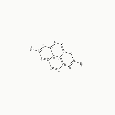 BrC1=CC2=CC=C3CC(Br)=CC4=C3C2C(=C1)C=C4